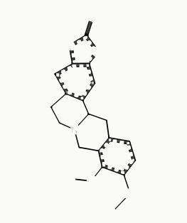 COc1ccc2c(c1OC)CN1CCc3cc4oc(=O)oc4cc3C1C2